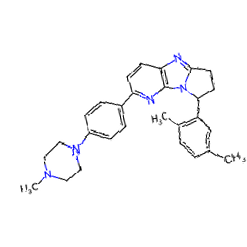 Cc1ccc(C)c(C2CCc3nc4ccc(-c5ccc(N6CCN(C)CC6)cc5)nc4n32)c1